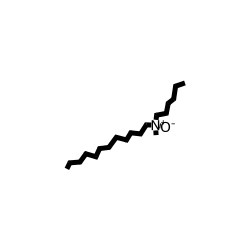 CCCCCCCCCCCC[N+](C)([O-])CCCCCC